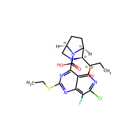 CCSc1nc(N2C[C@H]3CC[C@@H]([C@H]2[C@@H](O)CC)N3C(=O)O)c2c(Br)nc(Cl)c(F)c2n1